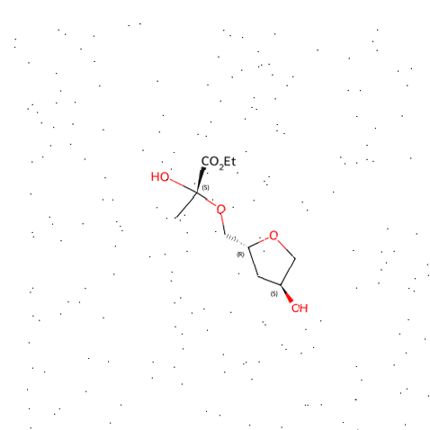 CCOC(=O)[C@@](C)(O)OC[C@H]1C[C@H](O)CO1